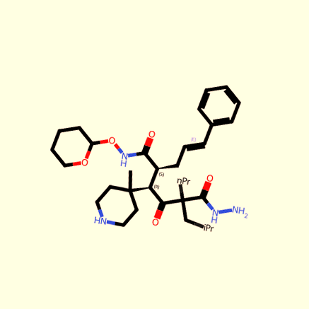 CCCC(CC(C)C)(C(=O)NN)C(=O)[C@H]([C@H](C/C=C/c1ccccc1)C(=O)NOC1CCCCO1)C1(C)CCNCC1